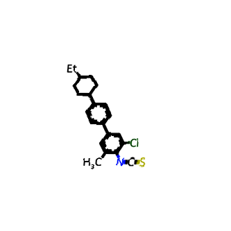 CCC1CCC(c2ccc(-c3cc(C)c(N=C=S)c(Cl)c3)cc2)CC1